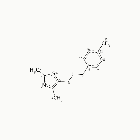 Cc1nc(C)c(C[CH]Cc2ccc(C(F)(F)F)cc2)s1